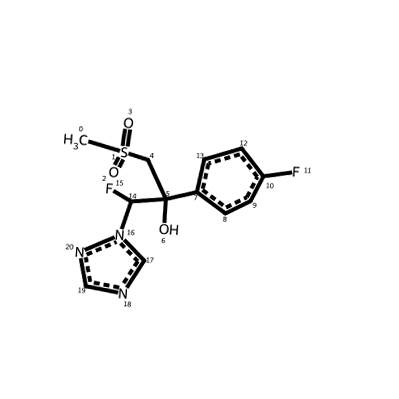 CS(=O)(=O)CC(O)(c1ccc(F)cc1)C(F)n1cncn1